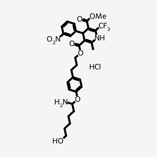 COC(=O)C1=C(C(F)(F)F)NC(C)=C(C(=O)OCCCc2ccc(OC(N)CCCCCO)cc2)C1c1cccc([N+](=O)[O-])c1.Cl